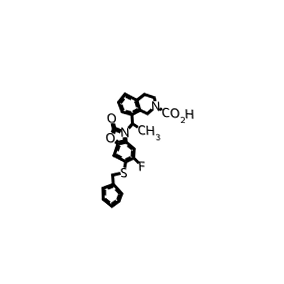 CC(c1cccc2c1CN(C(=O)O)CC2)n1c(=O)oc2cc(SCc3ccccc3)c(F)cc21